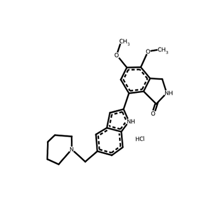 COc1cc(-c2cc3cc(CN4CCCCC4)ccc3[nH]2)c2c(c1OC)CNC2=O.Cl